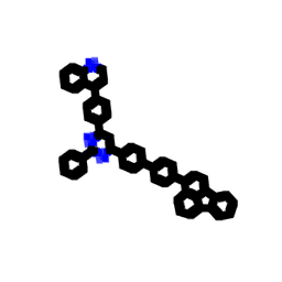 c1ccc(-c2nc(-c3ccc(-c4ccc(-c5ccc6c7c(cccc57)-c5ccccc5-6)cc4)cc3)cc(-c3ccc(-c4ccnc5ccccc45)cc3)n2)cc1